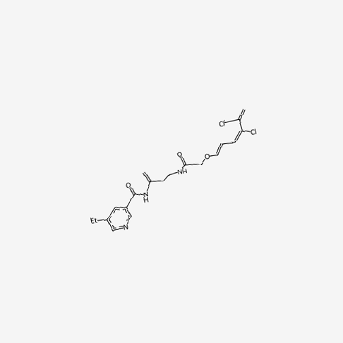 C=C(CCNC(=O)CO/C=C/C=C(/Cl)C(=C)Cl)NC(=O)c1cncc(CC)c1